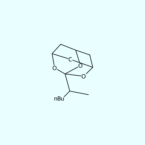 CCCCC(C)C12OC3CC(CC(C3)O1)O2